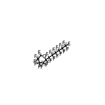 FC1OC(F)(C(F)(F)C(F)(F)C(F)(F)C(F)(F)C(F)(F)C(F)(F)F)C(F)(F)C(F)(F)C1(F)F